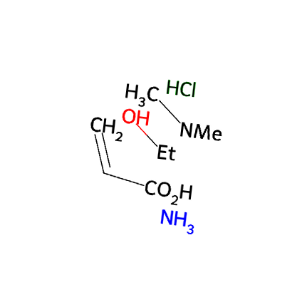 C=CC(=O)O.CCO.CNC.Cl.N